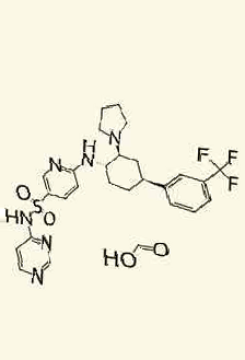 O=CO.O=S(=O)(Nc1ccncn1)c1ccc(N[C@H]2CC[C@H](c3cccc(C(F)(F)F)c3)C[C@@H]2N2CCCC2)nc1